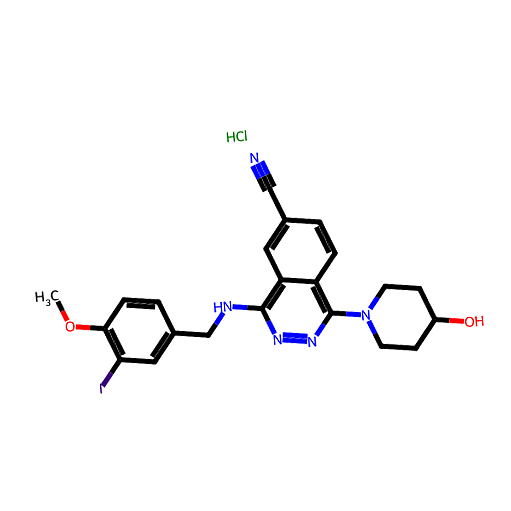 COc1ccc(CNc2nnc(N3CCC(O)CC3)c3ccc(C#N)cc23)cc1I.Cl